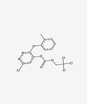 Cc1ccccc1Oc1nnc(Cl)cc1OC(=O)OCC(Cl)(Cl)Cl